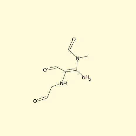 CN(C=O)/C(N)=C(\C=O)NCC=O